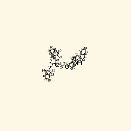 CN1/C(=C/C=C2\CCCC(/C=C/C3=[N+](C)c4ccccc4C3(C)C)=C2OCCCOc2ccc3c(c2)C(C)(C)C2(C=Cc4c(ccc5ccccc45)O2)N3)C(C)(C)c2ccccc21